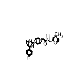 CN1C#CO[C@H](CNC(=O)CN2CCN(c3nncc(-c4ccc(F)cc4)n3)CC2)C1